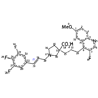 COc1ccc2ncc(F)c(CCCC3(C(=O)O)CCN(C/C=C/c4cc(F)c(F)c(F)c4)C3)c2c1